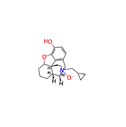 [O-][N+]1(CC2CC2)CC[C@]23c4c5ccc(O)c4OC2CCC[C@H]3[C@H]1C5